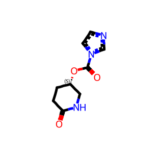 O=C1CC[C@H](OC(=O)n2ccnc2)CN1